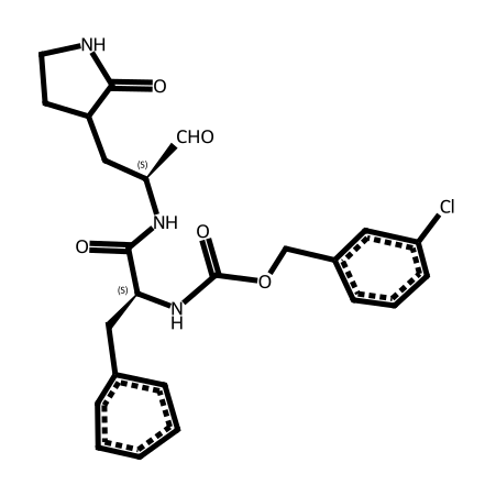 O=C[C@H](CC1CCNC1=O)NC(=O)[C@H](Cc1ccccc1)NC(=O)OCc1cccc(Cl)c1